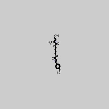 CCOc1ccc(/C=C/C(=O)NCCCCNC(=O)/C(C)=C/CO)cc1